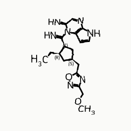 CC[C@@H]1C[C@H](Cc2nc(COC)no2)C[C@@H]1C(=N)n1c(=N)cnc2[nH]ccc21